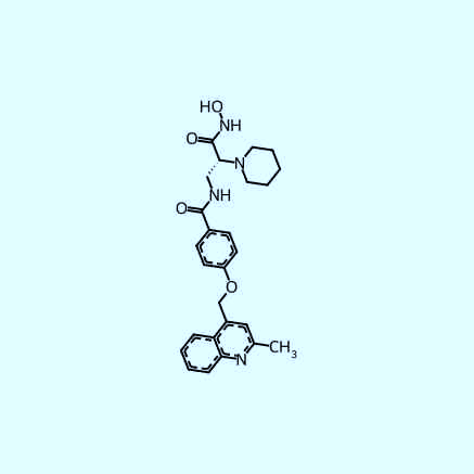 Cc1cc(COc2ccc(C(=O)NC[C@H](C(=O)NO)N3CCCCC3)cc2)c2ccccc2n1